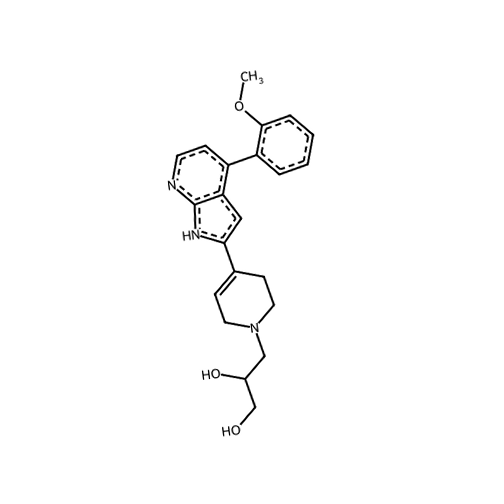 COc1ccccc1-c1ccnc2[nH]c(C3=CCN(CC(O)CO)CC3)cc12